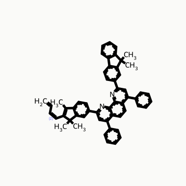 C=C/C=C\C1=C(C)c2ccc(-c3cc(-c4ccccc4)c4ccc5c(-c6ccccc6)cc(-c6ccc7c(c6)C(C)(C)c6ccccc6-7)nc5c4n3)cc2C1(C)C